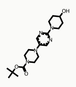 CC(C)(C)OC(=O)N1CCN(c2cnc(N3CCC(O)CC3)nc2)CC1